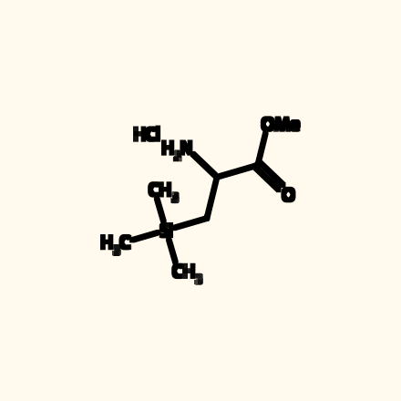 COC(=O)C(N)C[Si](C)(C)C.Cl